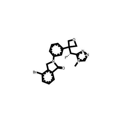 Cn1cnnc1[C@H](F)C1(c2cccc(N3Cc4c(Br)cccc4C3=O)c2)COC1